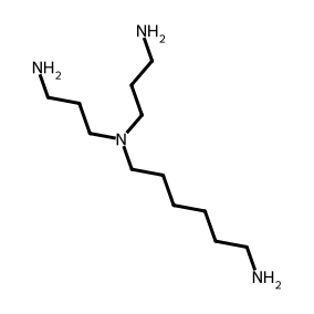 NCCCCCCN(CCCN)CCCN